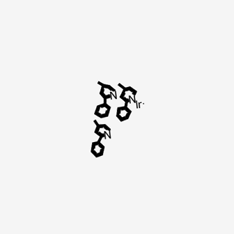 Cc1ccnc(-c2ccccc2)c1.Cc1ccnc(-c2ccccc2)c1.Cc1ccnc(-c2ccccc2)c1.[Ir]